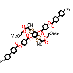 [C-]#[N+]C(C(=O)OCCOC)=C1Sc2c(OC(=O)C3CCC(OC(=O)C4CCC(C5CCC(CCC)CC5)CC4)CC3)c3c(c(OC(=O)C4CCC(OC(=O)C5CCC(C6CCC(CCC)CC6)CC5)CC4)c2S1)SC(=C(C#N)C(=O)OCCOC)S3